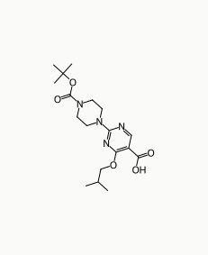 CC(C)COc1nc(N2CCN(C(=O)OC(C)(C)C)CC2)ncc1C(=O)O